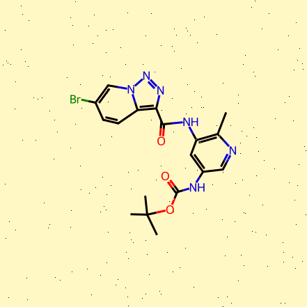 Cc1ncc(NC(=O)OC(C)(C)C)cc1NC(=O)c1nnn2cc(Br)ccc12